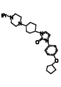 CC(C)N1CCN(C2CCC(n3ccn(-c4ccc(OC5CCCC5)cc4)c3=O)CC2)CC1